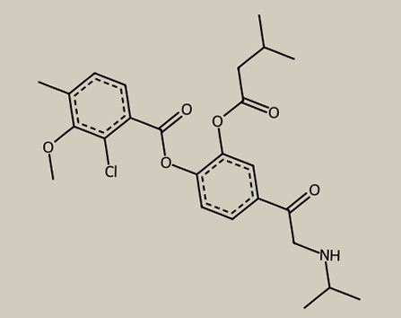 COc1c(C)ccc(C(=O)Oc2ccc(C(=O)CNC(C)C)cc2OC(=O)CC(C)C)c1Cl